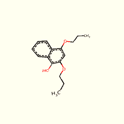 CCCOc1cc(OCCC)c2ccccc2c1O